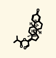 CC(C)C(=O)OC(C=O)=C1CC[C@H]2[C@@H]3CCC4=CC(=O)C=C[C@]4(C)[C@H]3CC[C@]12C